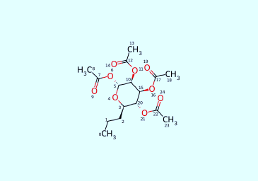 CCC[C@H]1O[C@H](OC(C)=O)[C@@H](OC(C)=O)[C@@H](OC(C)=O)[C@@H]1OC(C)=O